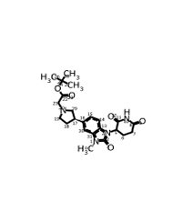 Cn1c(=O)n(C2CCC(=O)NC2=O)c2ccc([C@H]3CCN(CC(=O)OC(C)(C)C)C3)cc21